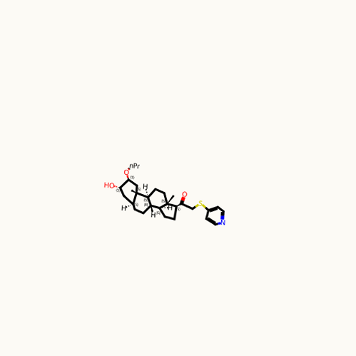 CCCO[C@H]1C[C@@]2(C)[C@@H](CC[C@@H]3[C@@H]2CC[C@]2(C)[C@@H](C(=O)CSc4ccncc4)CC[C@@H]32)C[C@@H]1O